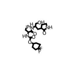 CC(C)CC(NC(=O)OC1CCC(F)(F)CC1)C(=O)NC(CO)CC1CCNC1=O